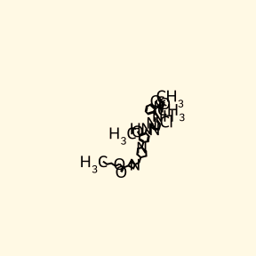 CCCCOC(=O)C1CN(CC2CCN(c3ccc(Nc4ncc(Cl)c(Nc5ccccc5N(C)S(C)(=O)=O)n4)c(OC)c3)CC2)C1